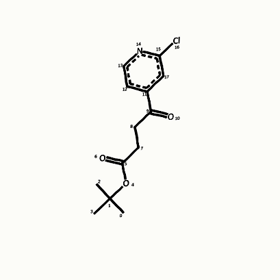 CC(C)(C)OC(=O)CCC(=O)c1ccnc(Cl)c1